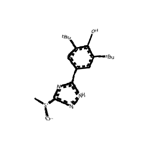 C[S+]([O-])c1n[nH]c(-c2cc(C(C)(C)C)c(O)c(C(C)(C)C)c2)n1